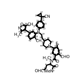 CNC(=O)C(CCC=O)N(C)C(=O)c1cc(N2CCC(CCN(c3ccc(C4(C#N)CC4)cc3)c3cc(-c4c(C)noc4C)ccc3C)CC2)c(F)cc1C=O